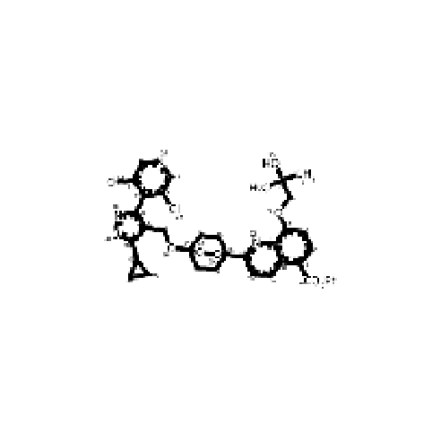 CCOC(=O)c1ccc(OCC(C)(C)O)c2nc(C34CCC(OCc5c(-c6c(Cl)cncc6Cl)noc5C5CC5)(CC3)CC4)ccc12